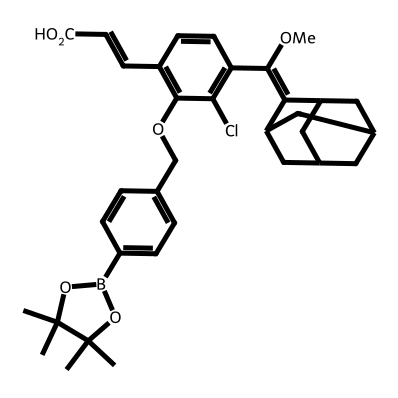 COC(=C1C2CC3CC(C2)CC1C3)c1ccc(/C=C/C(=O)O)c(OCc2ccc(B3OC(C)(C)C(C)(C)O3)cc2)c1Cl